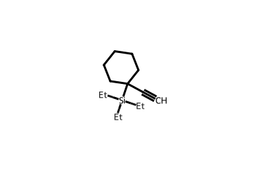 C#CC1([Si](CC)(CC)CC)CCCCC1